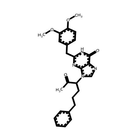 COc1ccc(Cc2nc3c(ncn3C(CCCc3ccccc3)C(C)=O)c(=O)[nH]2)cc1OC